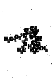 CCOCCN(CCOCC)C(=O)c1sc(NC(=O)OC(C)(C)C)nc1C